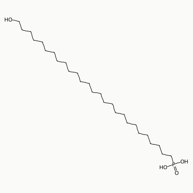 O=P(O)(O)CCCCCCCCCCCCCCCCCCCCCCCCCCCO